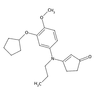 CCCN(C1=CC(=O)CC1)c1ccc(OC)c(OC2CCCC2)c1